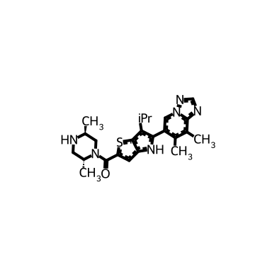 Cc1c(-c2[nH]c3cc(C(=O)N4C[C@H](C)NC[C@H]4C)sc3c2C(C)C)cn2ncnc2c1C